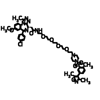 COc1ccc2c(c1)C(c1ccc(Cl)cc1)=N[C@@H](CC(=O)NCCOCCOCCOCCOCCN1CCN(S(=O)(=O)c3cc(-c4c(C)noc4C)ccc3C)CC1)c1nnc(C)n1-2